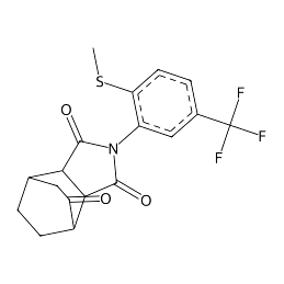 CSc1ccc(C(F)(F)F)cc1N1C(=O)C2C3CCC(C(=O)C3)C2C1=O